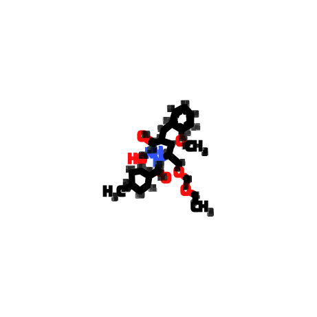 CCOCOCC(CC(Cc1ccccc1OC)C(=O)NO)NC(=O)C1CCC(C)CC1